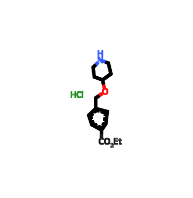 CCOC(=O)c1ccc(COC2CCNCC2)cc1.Cl